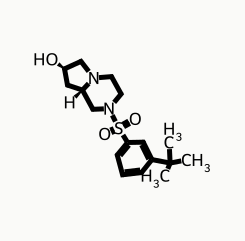 CC(C)(C)c1cccc(S(=O)(=O)N2CCN3C[C@H](O)C[C@H]3C2)c1